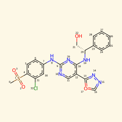 CS(=O)(=O)c1ccc(Nc2ncc(-c3nnco3)c(N[C@H](CO)c3ccccc3)n2)cc1Cl